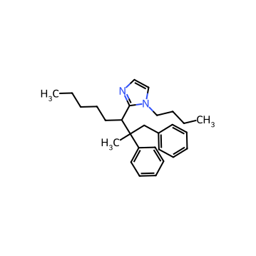 CCCCCC(c1nccn1CCCC)C(C)(Cc1ccccc1)c1ccccc1